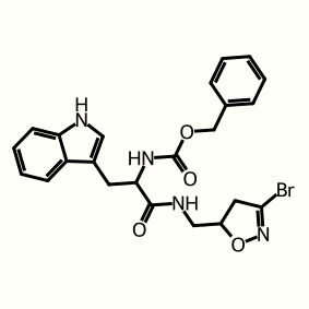 O=C(NC(Cc1c[nH]c2ccccc12)C(=O)NCC1CC(Br)=NO1)OCc1ccccc1